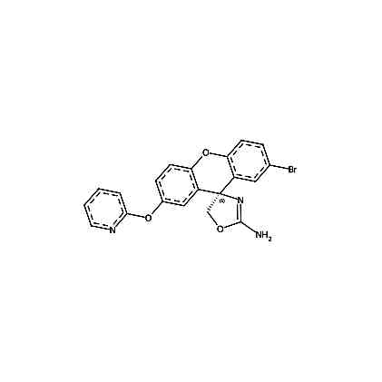 NC1=N[C@]2(CO1)c1cc(Br)ccc1Oc1ccc(Oc3ccccn3)cc12